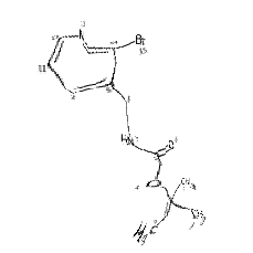 CC(C)(C)OC(=O)NCc1cccnc1Br